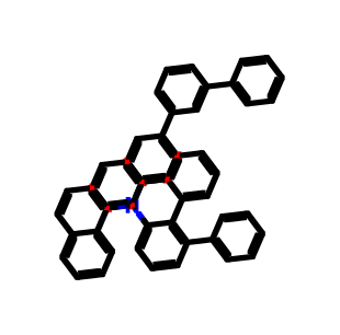 c1ccc(-c2cccc(-c3ccc(N(c4cccc(-c5ccccc5)c4-c4ccccc4-c4ccccc4)c4cccc5ccccc45)cc3)c2)cc1